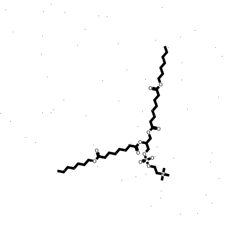 CCCCCCCOC(=O)CCCCCCC(=O)OCC(COP(=O)([O-])OCC[N+](C)(C)C)OC(=O)CCCCCCC(=O)OCCCCCCC